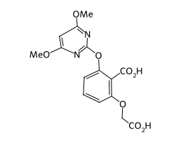 COc1cc(OC)nc(Oc2cccc(OCC(=O)O)c2C(=O)O)n1